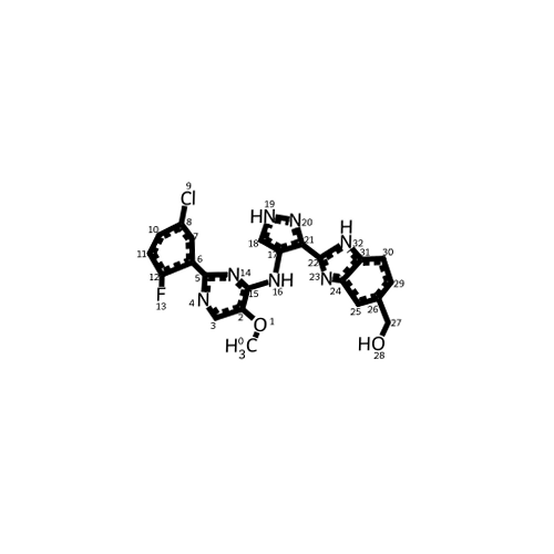 COc1cnc(-c2cc(Cl)ccc2F)nc1Nc1c[nH]nc1-c1nc2cc(CO)ccc2[nH]1